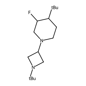 CC(C)(C)C1CCN(C2CN(C(C)(C)C)C2)CC1F